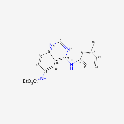 CCOC(=O)Nc1ccc2ncnc(Nc3cccc(C)c3)c2c1